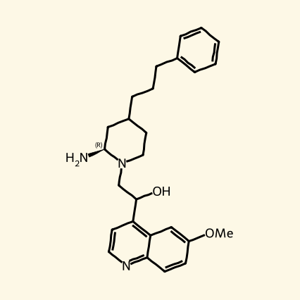 COc1ccc2nccc(C(O)CN3CCC(CCCc4ccccc4)C[C@@H]3N)c2c1